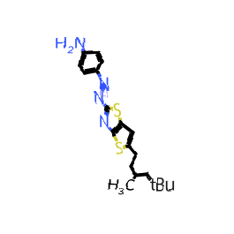 CC(CCc1cc2sc(/N=N/c3ccc(N)cc3)nc2s1)CC(C)(C)C